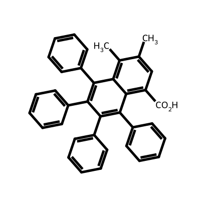 Cc1cc(C(=O)O)c2c(-c3ccccc3)c(-c3ccccc3)c(-c3ccccc3)c(-c3ccccc3)c2c1C